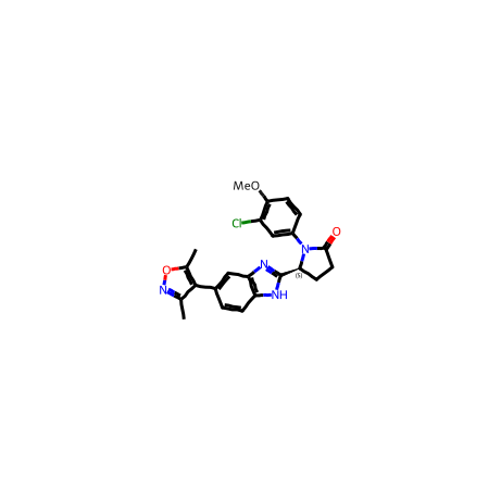 COc1ccc(N2C(=O)CC[C@H]2c2nc3cc(-c4c(C)noc4C)ccc3[nH]2)cc1Cl